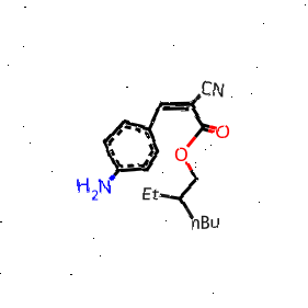 CCCCC(CC)COC(=O)C(C#N)=Cc1ccc(N)cc1